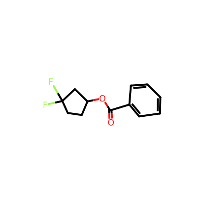 O=C(OC1CCC(F)(F)C1)c1ccccc1